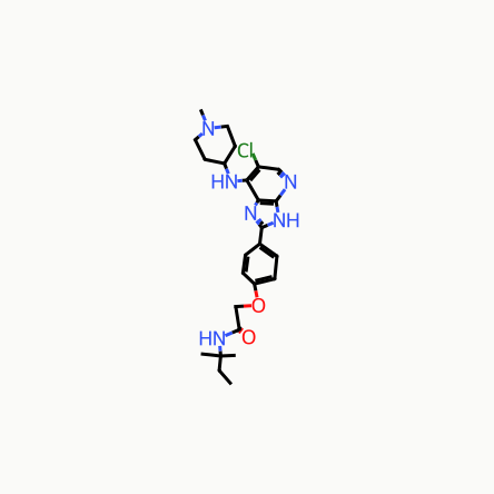 CCC(C)(C)NC(=O)COc1ccc(-c2nc3c(NC4CCN(C)CC4)c(Cl)cnc3[nH]2)cc1